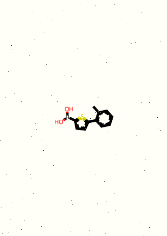 Cc1ccccc1-c1ccc(B(O)O)s1